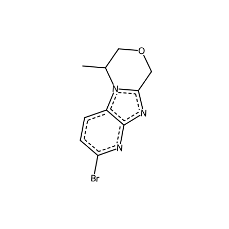 CC1COCc2nc3nc(Br)ccc3n21